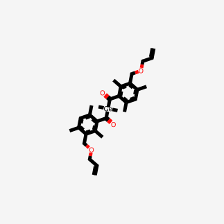 C=CCOCc1c(C)cc(C)c([C](=O)[Ge]([CH3])([CH3])[C](=O)c2c(C)cc(C)c(COCC=C)c2C)c1C